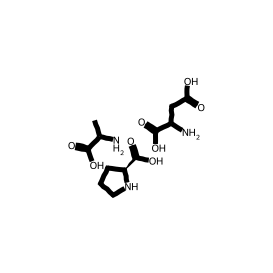 CC(N)C(=O)O.NC(CC(=O)O)C(=O)O.O=C(O)[C@@H]1CCCN1